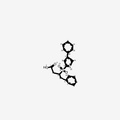 O=C(O)CC(Cc1ccccc1)S(=O)(=O)c1cc(-c2ccccc2)cs1